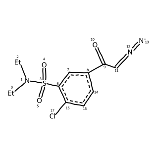 CCN(CC)S(=O)(=O)c1cc(C(=O)C=[N+]=[N-])ccc1Cl